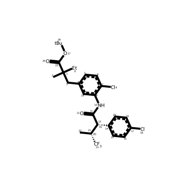 CCC(C)(Cc1ccc(Cl)c(NC(=O)[C@H](c2ccc(Cl)cc2)[C@@H](C)C(F)(F)F)c1)C(=O)OC(C)(C)C